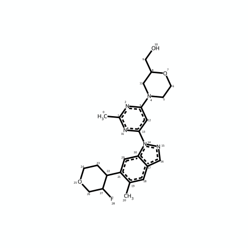 Cc1nc(N2CCOC(CO)C2)cc(-n2ncc3cc(C)c(C4CCOCC4F)cc32)n1